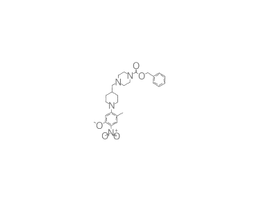 COc1cc(N2CCC(CN3CCN(C(=O)OCc4ccccc4)CC3)CC2)c(C)cc1[N+](=O)[O-]